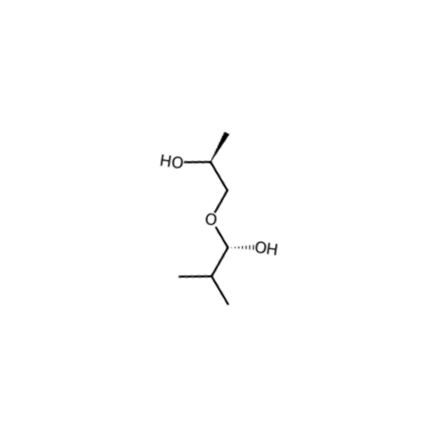 CC(C)[C@@H](O)OC[C@H](C)O